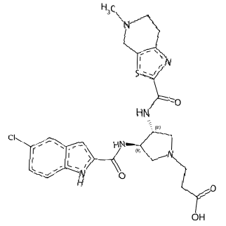 CN1CCc2nc(C(=O)N[C@@H]3CN(CCC(=O)O)C[C@H]3NC(=O)c3cc4cc(Cl)ccc4[nH]3)sc2C1